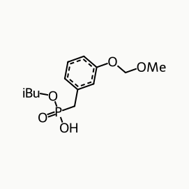 CCC(C)OP(=O)(O)Cc1cccc(OCOC)c1